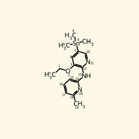 CCOc1c[c]([Sn]([CH3])([CH3])[CH3])cnc1Nc1cccc(C)n1